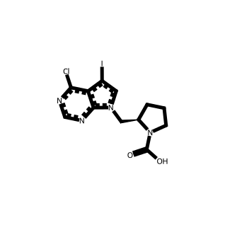 O=C(O)N1CCC[C@@H]1Cn1cc(I)c2c(Cl)ncnc21